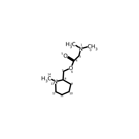 CN(C)CC(=O)OCC1CCCCN1C